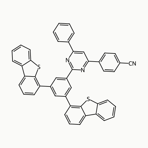 N#Cc1ccc(-c2cc(-c3ccccc3)nc(-c3cc(-c4cccc5c4sc4ccccc45)cc(-c4cccc5c4sc4ccccc45)c3)n2)cc1